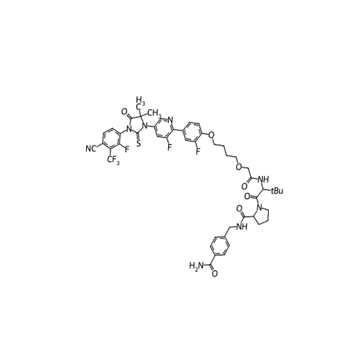 CC(C)(C)C(NC(=O)COCCCCOc1ccc(-c2ncc(N3C(=S)N(c4ccc(C#N)c(C(F)(F)F)c4F)C(=O)C3(C)C)cc2F)cc1F)C(=O)N1CCCC1C(=O)NCc1ccc(C(N)=O)cc1